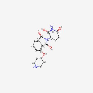 O=C1CCC(N2C(=O)c3cccc(OC4CCNCC4)c3C2=O)C(=O)N1